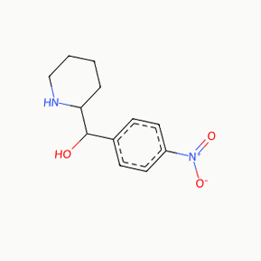 O=[N+]([O-])c1ccc(C(O)C2CCCCN2)cc1